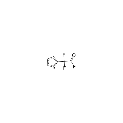 O=C(F)C(F)(F)c1cccs1